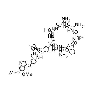 COc1cc2nccc(Oc3ccc(N/C(=N/c4cc(C)on4)[S+]([O-])Cc4ccc(C(=O)N[C@H]5CCNC(=O)[C@@H]([C@@H](C)O)NC(=O)[C@H](CCN)NC(=O)[C@H](CCN)NC(=O)[C@H](CC(C)C)NC(=O)[C@@H](Cc6ccccc6)NC(=O)[C@H](CCN)NC5=O)cc4)c(Cl)c3)c2cc1OC